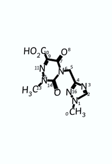 Cn1cnc(Cn2c(=O)c(C(=O)O)nn(C)c2=O)n1